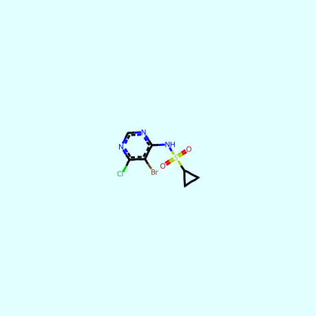 O=S(=O)(Nc1ncnc(Cl)c1Br)C1CC1